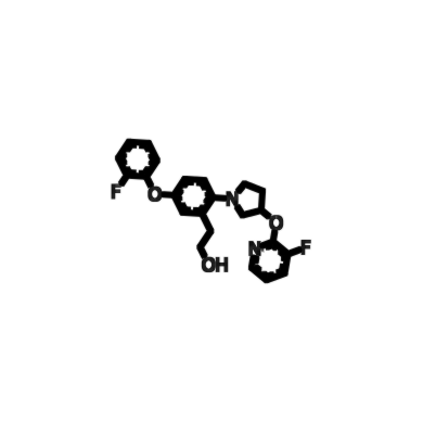 OCCc1cc(Oc2ccccc2F)ccc1N1CCC(Oc2ncccc2F)C1